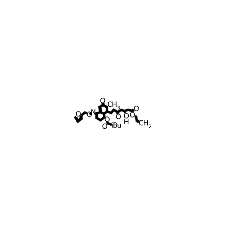 C=CCOC(=O)CC(O)CC(=O)CCC1C(C)C(=O)C=C2C(=NOCc3ccco3)CCC(OC(=O)C(C)CC)C21